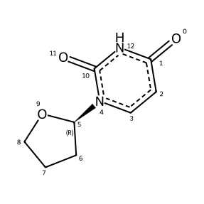 O=c1ccn([C@H]2CCCO2)c(=O)[nH]1